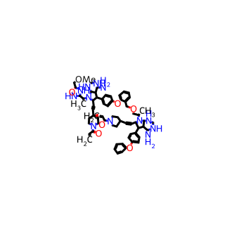 C=CC(=O)N1CCC(C#CC2C(c3ccc(Oc4ccccc4)cc3)C3C(N)NCNC3N2C(C)COCc2ccccc2Oc2ccc(C3C4C(N)NCNC4N(C(C)C4NOC(COC)N4)C3C#CC3CCN(C(=O)C=C)CC3)cc2)CC1